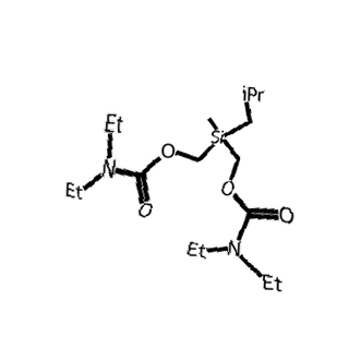 CCN(CC)C(=O)OC[Si](C)(COC(=O)N(CC)CC)CC(C)C